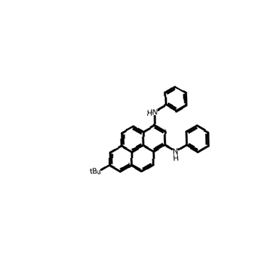 CC(C)(C)c1cc2ccc3c(Nc4ccccc4)cc(Nc4ccccc4)c4ccc(c1)c2c34